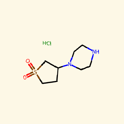 Cl.O=S1(=O)CCC(N2CCNCC2)C1